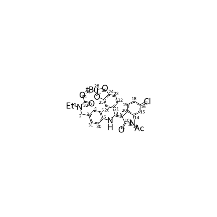 CCN(Cc1ccc(N/C(=C2\C(=O)N(C(C)=O)c3cc(Cl)ccc32)c2ccc3c(c2)OCO3)cc1)C(=O)OC(C)(C)C